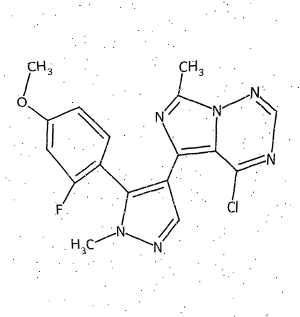 COc1ccc(-c2c(-c3nc(C)n4ncnc(Cl)c34)cnn2C)c(F)c1